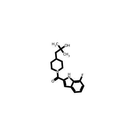 CC(C)(O)CC1CCN(C(=O)c2cc3cccc(F)c3[nH]2)CC1